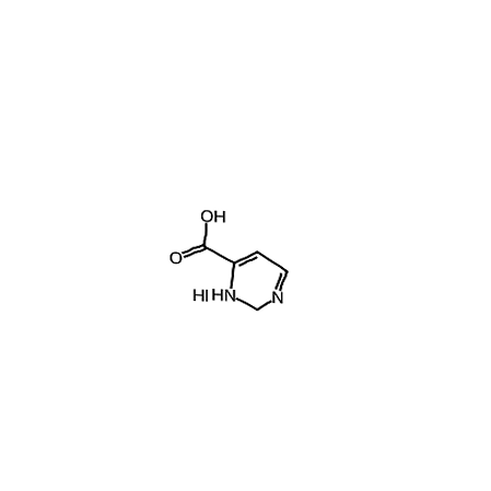 I.O=C(O)C1=CC=NCN1